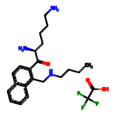 CCCCNCc1c(C(=O)[C@@H](N)CCCCN)ccc2ccccc12.O=C(O)C(F)(F)F